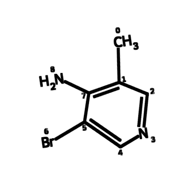 Cc1cncc(Br)c1N